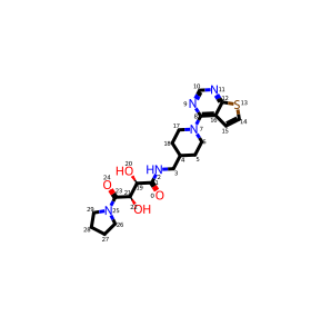 O=C(NCC1CCN(c2ncnc3sccc23)CC1)[C@H](O)[C@@H](O)C(=O)N1CCCC1